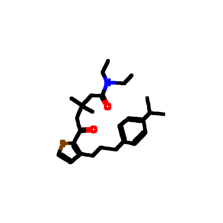 CCN(CC)C(=O)CC(C)(C)CC(=O)c1sccc1CCCc1ccc(C(C)C)cc1